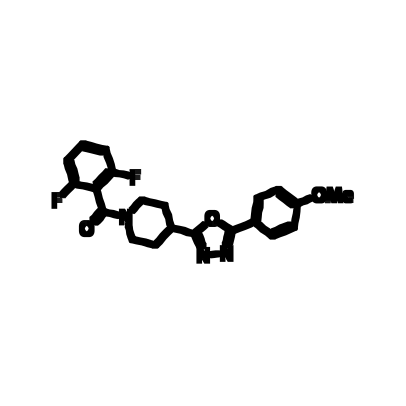 COc1ccc(-c2nnc(C3CCN(C(=O)c4c(F)cccc4F)CC3)o2)cc1